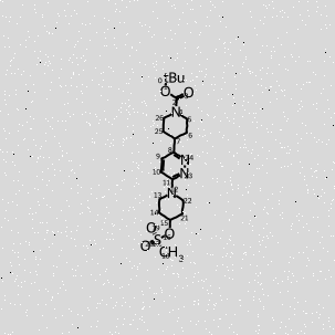 CC(C)(C)OC(=O)N1CCC(c2ccc(N3CCC(OS(C)(=O)=O)CC3)nn2)CC1